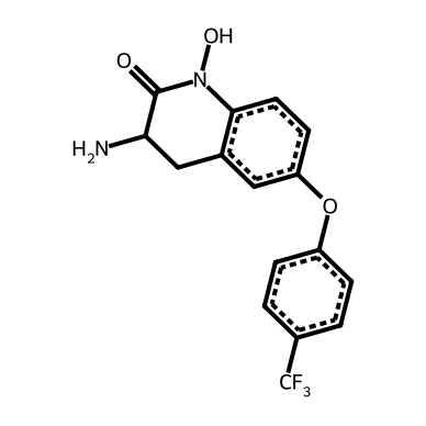 NC1Cc2cc(Oc3ccc(C(F)(F)F)cc3)ccc2N(O)C1=O